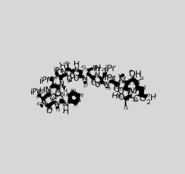 CC=CC[C@@H](C)[C@@H](O)[C@@H](C(=O)N[C@H](C(=O)O)[C@@H](C)O)N(C)C(=O)[C@H](C(C)C)N(C)C(=O)[C@H](CC(C)C)NC(=O)[C@H](CC(C)C)N(C)C(=O)[C@@H](C)NC(=O)[C@H](C)NC(=O)[C@H](CC(C)C)N(C)C(=O)[C@H](CC(C)C)NC(=O)[C@H](CC(C)C)N(C)C(=O)CN(C)C(=S)Nc1ccccc1